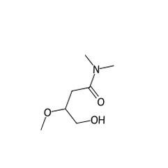 COC(CO)CC(=O)N(C)C